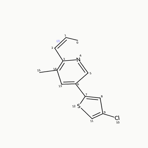 C/C=C\c1ncc(-c2cc(Cl)cs2)cc1C